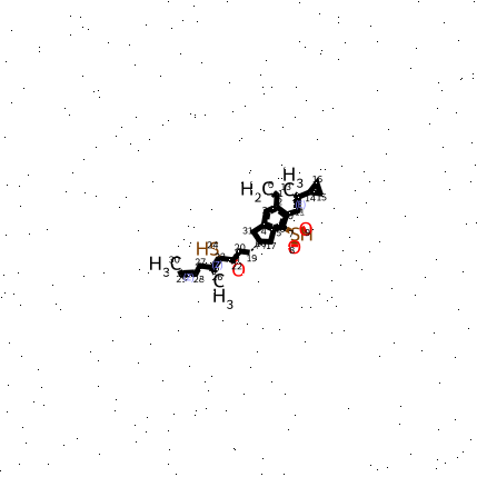 C=Cc1cc2c(c([SH](=O)=O)c1/C=C(\C)C1CC1)C[C@H](CCC(=O)/C(S)=C(\C)C/C=C\C)C2